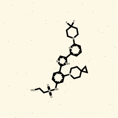 O=S(=O)(CCO)Nc1ccc(-c2ncc(-c3cccc(N4CCC(F)(F)CC4)n3)[nH]2)c(N2CCC3(CC2)CC3)c1